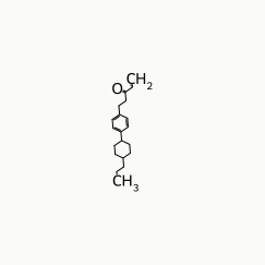 C=CC(=O)CCc1ccc(C2CCC(CCC)CC2)cc1